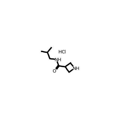 CC(C)CNC(=O)C1CNC1.Cl